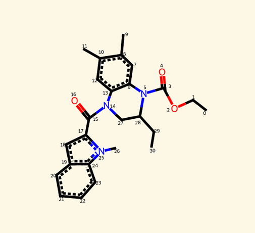 CCOC(=O)N1c2cc(C)c(C)cc2N(C(=O)c2cc3ccccc3n2C)CC1CC